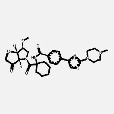 CS[C@H]1CN(C(=O)C2(NC(=O)c3ccc(-c4csc(N5CCN(C)CC5)n4)cc3)CCCCC2)[C@@H]2C(=O)CO[C@H]12